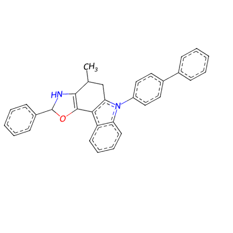 CC1Cc2c(c3ccccc3n2-c2ccc(-c3ccccc3)cc2)C2=C1NC(c1ccccc1)O2